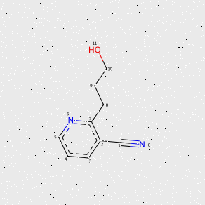 N#Cc1cccnc1CCCO